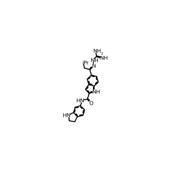 CC(C)C/C(=N\NC(=N)N)c1ccc2[nH]c(C(=O)Nc3ccc4c(c3)NCC4)cc2c1